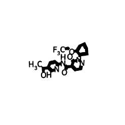 C[C@@H](O)c1ccc(NC(=O)c2ccnn(-c3ccccc3OCC(F)(F)F)c2=O)nc1